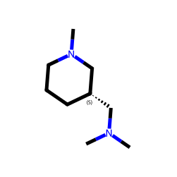 CN(C)C[C@@H]1CCCN(C)C1